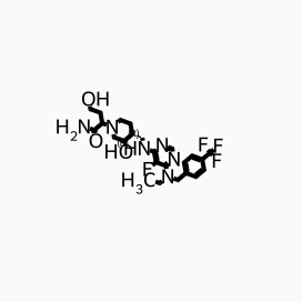 CCN(Cc1ccc(C(F)(F)F)cc1)c1ncnc(NC[C@H]2CCN(C(CCO)C(N)=O)C[C@@H]2O)c1F